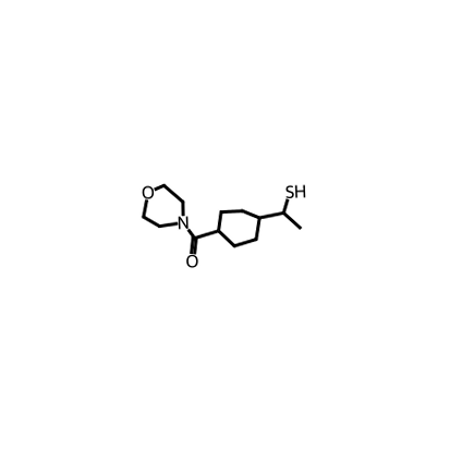 CC(S)C1CCC(C(=O)N2CCOCC2)CC1